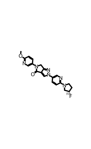 COc1ccc(N2Cc3nn(-c4ccc(N5CC[C@H](F)C5)nc4)cc3C2=O)cn1